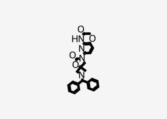 O=C1COc2ccc(N3CC4(CN(C(c5ccccc5)c5ccccc5)C4)OC3=O)nc2N1